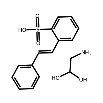 NCC(O)O.O=S(=O)(O)c1ccccc1C=Cc1ccccc1